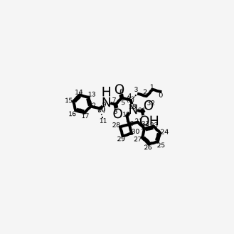 CCCC[C@@H](C(=O)C(=O)N[C@H](C)c1ccccc1)N(CC1(Cc2ccccc2)CCC1)C(=O)O